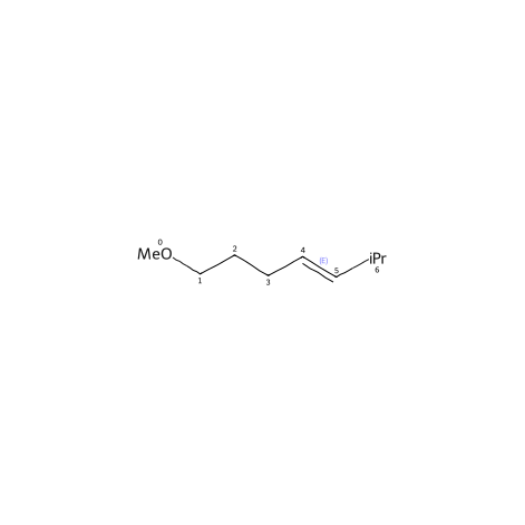 COCCC/C=C/C(C)C